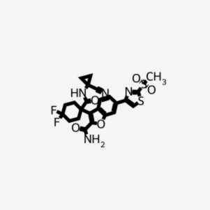 CS(=O)(=O)c1nc(-c2ccc3c(C4(C(=O)NC5(C#N)CC5)CCC(F)(F)CC4)c(C(N)=O)oc3c2)cs1